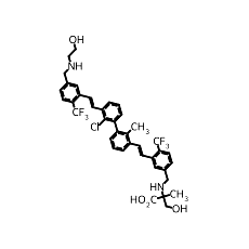 Cc1c(/C=C/c2cc(CNC(C)(CO)C(=O)O)ccc2C(F)(F)F)cccc1-c1cccc(/C=C/c2cc(CNCCO)ccc2C(F)(F)F)c1Cl